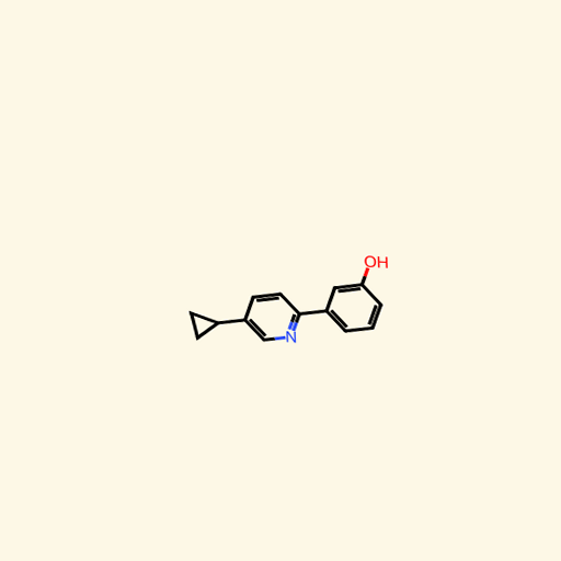 Oc1cccc(-c2ccc(C3CC3)cn2)c1